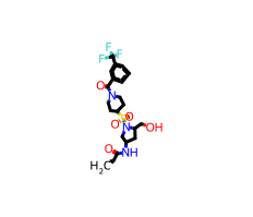 C=CC(=O)NC1CC(CO)N(S(=O)(=O)C2CCN(C(=O)c3cccc(C(F)(F)F)c3)CC2)C1